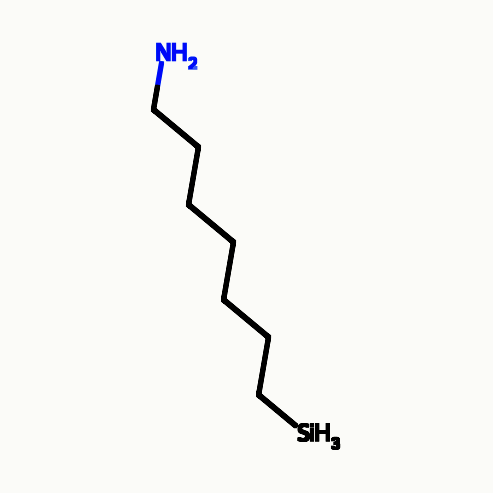 NCCCCCCC[SiH3]